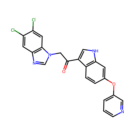 O=C(Cn1cnc2cc(Cl)c(Cl)cc21)c1c[nH]c2cc(Oc3cccnc3)ccc12